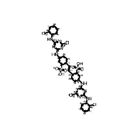 O=S(=O)(O)c1cc(Nc2nc(Cl)nc(Nc3ccccc3Cl)n2)ccc1C=Cc1ccc(Nc2nc(Cl)nc(Nc3ccccc3Cl)n2)cc1S(=O)(=O)O